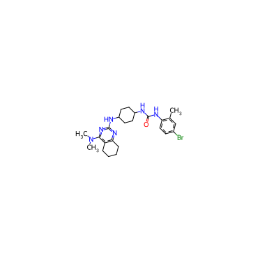 Cc1cc(Br)ccc1NC(=O)NC1CCC(Nc2nc3c(c(N(C)C)n2)CCCC3)CC1